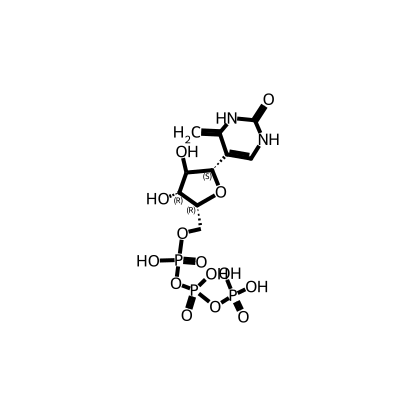 C=C1NC(=O)NC=C1[C@@H]1O[C@H](COP(=O)(O)OP(=O)(O)OP(=O)(O)O)[C@H](O)C1O